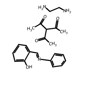 CC(=O)C(C(C)=O)C(C)=O.NCCN.Oc1ccccc1C=Nc1ccccc1